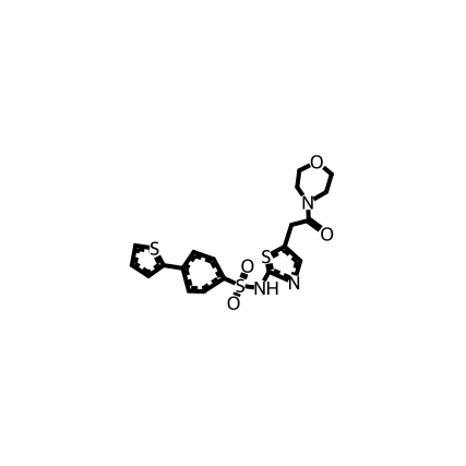 O=C(Cc1cnc(NS(=O)(=O)c2ccc(-c3cccs3)cc2)s1)N1CCOCC1